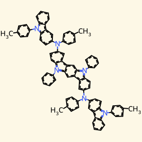 Cc1ccc(N(c2ccc3c(c2)c2ccccc2n3-c2ccc(C)cc2)c2ccc3c(c2)c2cc4c(cc2n3-c2ccccc2)c2cc(N(c3ccc(C)cc3)c3ccc5c(c3)c3ccccc3n5-c3ccc(C)cc3)ccc2n4-c2ccccc2)cc1